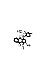 Cc1ccc(Nc2ccc(O)c3c2C(=O)c2ccccc2C3=O)c(S(=O)(=O)O)c1.[Na]